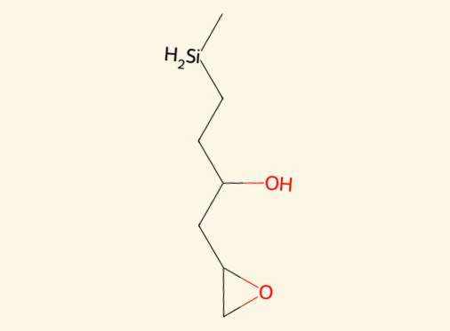 C[SiH2]CCC(O)CC1CO1